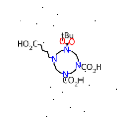 CC(C)(C)OC(=O)N1CCCN(C(=O)O)CCN(C(=O)O)CCCN(CCCCC(=O)O)CC1